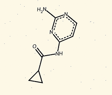 Nc1nccc(NC(=O)C2CC2)n1